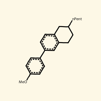 CCCCCC1CCc2cc(-c3ccc(OC)cc3)ccc2C1